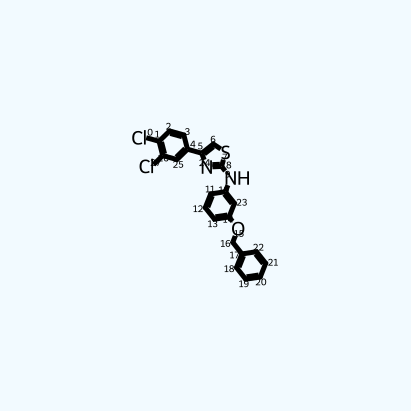 Clc1ccc(-c2csc(Nc3cccc(OCc4ccccc4)c3)n2)cc1Cl